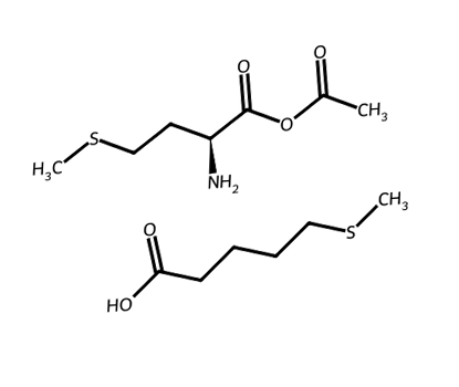 CSCCCCC(=O)O.CSCC[C@H](N)C(=O)OC(C)=O